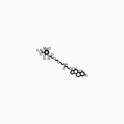 COc1ccc(NC(=O)COCCOCCNC(=O)CCOC2CCC3C4CCC5=CC(=O)CCC5(C)C4CCC23C)c(O)c1C(N)=O